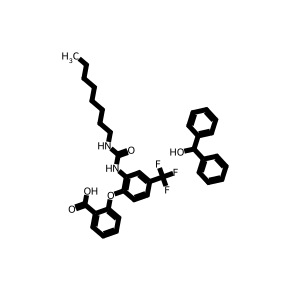 CCCCCCCCNC(=O)Nc1cc(C(F)(F)F)ccc1Oc1ccccc1C(=O)O.OC(c1ccccc1)c1ccccc1